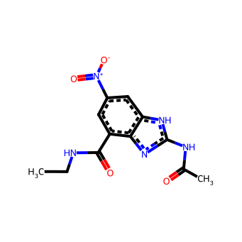 CCNC(=O)c1cc([N+](=O)[O-])cc2[nH]c(NC(C)=O)nc12